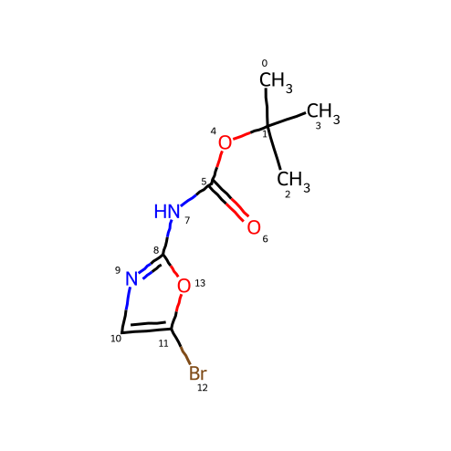 CC(C)(C)OC(=O)Nc1ncc(Br)o1